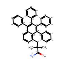 CC(C)(Cc1cccc2c(-c3ccccc3)c(-c3ccccc3)c(-c3ccccc3)c(-c3ccccc3)c12)C(N)=O